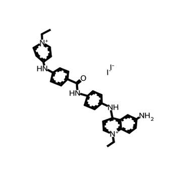 CC[n+]1ccc(Nc2ccc(C(=O)Nc3ccc(Nc4cc[n+](CC)c5ccc(N)cc45)cc3)cc2)cc1.[I-].[I-]